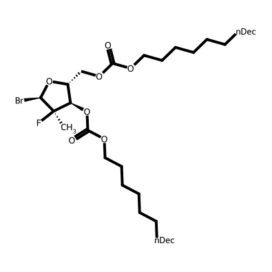 CCCCCCCCCCCCCCCCOC(=O)OC[C@H]1O[C@H](Br)[C@](C)(F)[C@@H]1OC(=O)OCCCCCCCCCCCCCCCC